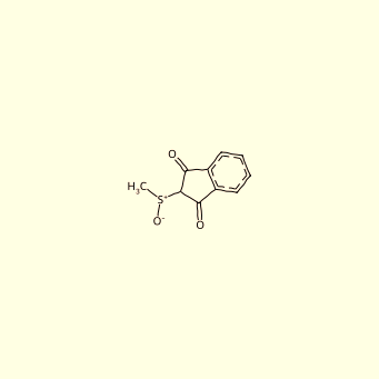 C[S+]([O-])C1C(=O)c2ccccc2C1=O